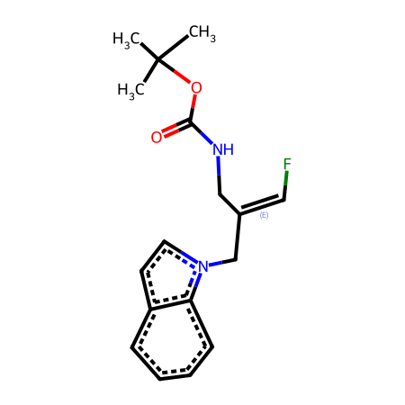 CC(C)(C)OC(=O)NC/C(=C\F)Cn1ccc2ccccc21